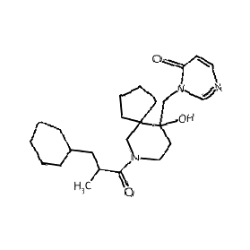 CC(CC1CCCCC1)C(=O)N1CCC(O)(Cn2cnccc2=O)C2(CCCC2)C1